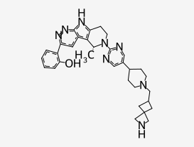 C[C@@H]1c2c([nH]c3nnc(-c4ccccc4O)cc23)CCN1c1ncc(C2CCN(CC3CC4(CNC4)C3)CC2)cn1